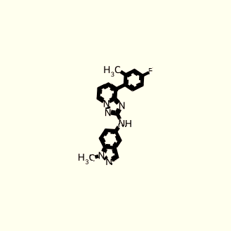 Cc1cc(F)ccc1-c1cccn2nc(Nc3ccc4c(cnn4C)c3)nc12